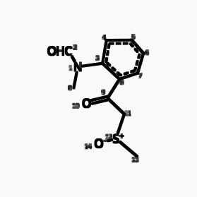 CN(C=O)c1ccccc1C(=O)C[S+](C)[O-]